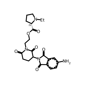 CCN1CCC[C@H]1C(=O)OCCN1C(=O)CCC(N2C(=O)c3ccc(N)cc3C2=O)C1=O